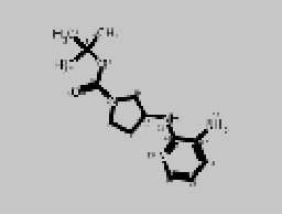 CC(C)(C)OC(=O)N1CC[C@H](Nc2ncccc2N)C1